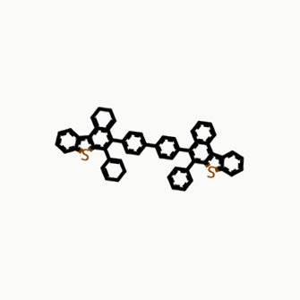 C1=CC(c2c(-c3ccc(-c4ccc(-c5c(-c6ccccc6)c6sc7ccccc7c6c6ccccc56)cc4)cc3)c3c(c4c2sc2ccccc24)=CCCC=3)=CCC1